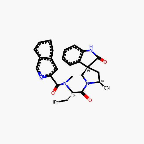 CC(C)C[C@@H](C(=O)N1C[C@]2(C[C@H]1C#N)C(=O)Nc1ccccc12)N(C)C(=O)c1cc2ccccc2cn1